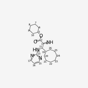 N=C(C(=O)OC1CCCCC1)C(Nc1ncccn1)C1CCCCCCC1